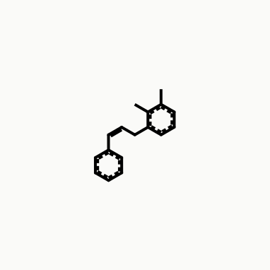 Cc1cccc(C/C=C\c2ccccc2)c1C